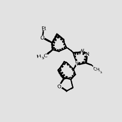 CCOc1ccc(-c2nnc(C)n2-c2ccc3c(c2)CCO3)cc1C